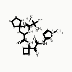 Cn1ccc(NC(=O)C(=O)C2(NC(=O)C(CC3(F)CCCC3)NC(=O)C(C)(C)F)CCC2)n1